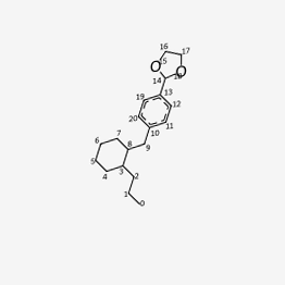 CCCC1CCCCC1Cc1ccc(C2OCCO2)cc1